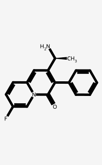 C[C@H](N)c1cc2ccc(F)cn2c(=O)c1-c1ccccc1